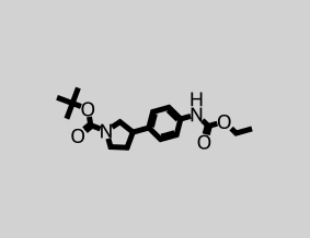 CCOC(=O)Nc1ccc(C2CCN(C(=O)OC(C)(C)C)C2)cc1